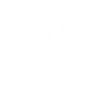 c1ccc(-c2cccc(-c3ccccc3)c2-n2c3ccccc3c3cc(-n4c5ccccc5c5cc([Si](c6ccccc6)(c6ccccc6)c6ccccc6)ccc54)ccc32)cc1